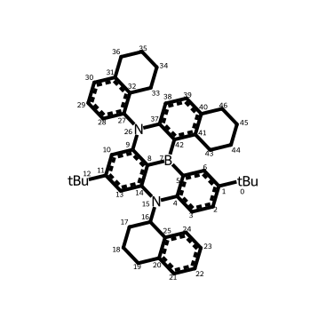 CC(C)(C)c1ccc2c(c1)B1c3c(cc(C(C)(C)C)cc3N2C2CCCc3ccccc32)N(c2cccc3c2CCCC3)c2ccc3c(c21)CCCC3